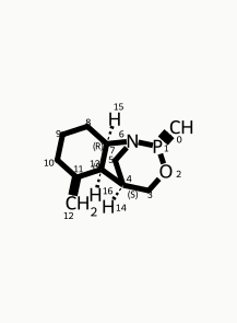 C#P1OC[C@@H]2CN1[C@@H]1CCCC(=C)[C@H]21